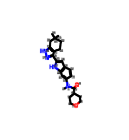 CN(C(=O)C1CCOCC1)c1ccc2cc(-c3n[nH]c4c3CCC(C)(C)C4)[nH]c2c1